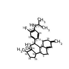 C=C1C=C2CCC3C(C2CC1)C(c1ccc(NC(C)C)c(F)c1)CC1(C)C(C)CCC31